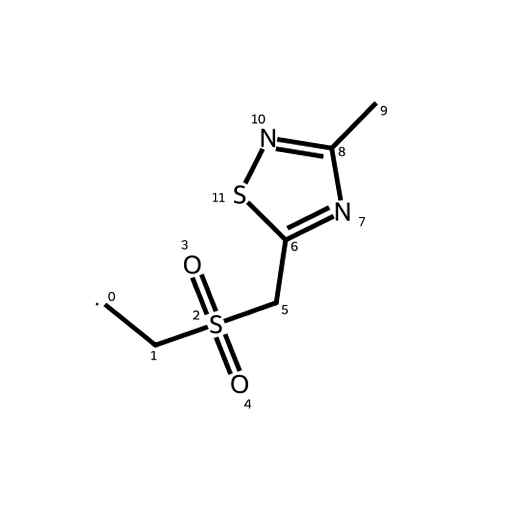 [CH2]CS(=O)(=O)Cc1nc(C)ns1